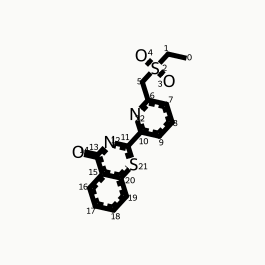 CCS(=O)(=O)Cc1cccc(-c2nc(=O)c3ccccc3s2)n1